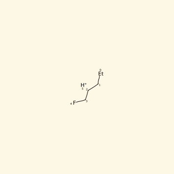 CCCCCF.[H+]